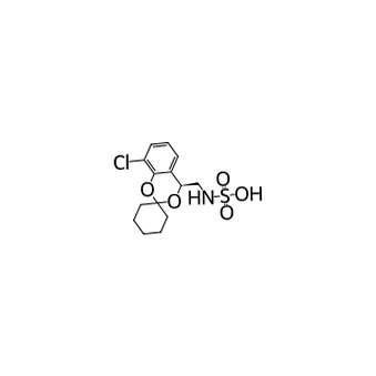 O=S(=O)(O)NC[C@H]1OC2(CCCCC2)Oc2c(Cl)cccc21